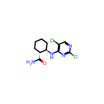 NC(=O)[C@@H]1CCCC[C@H]1Nc1nc(Cl)ncc1Cl